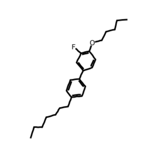 CCCCCCCc1ccc(-c2ccc(OCCCCC)c(F)c2)cc1